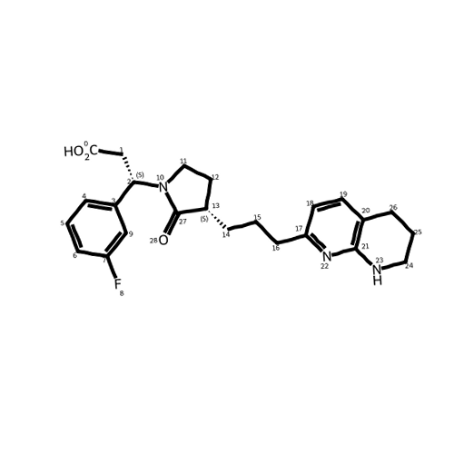 O=C(O)C[C@@H](c1cccc(F)c1)N1CC[C@H](CCCc2ccc3c(n2)NCCC3)C1=O